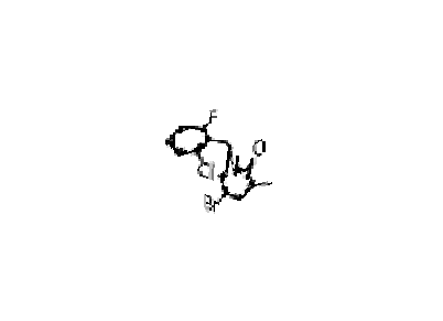 Cc1cc(Br)cn(Cc2c(F)cccc2Cl)c1=O